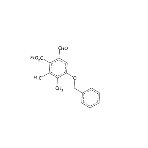 CCOC(=O)c1c(C=O)cc(OCc2ccccc2)c(C)c1C